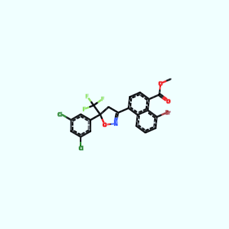 COC(=O)c1ccc(C2=NOC(c3cc(Cl)cc(Cl)c3)(C(F)(F)F)C2)c2cccc(Br)c12